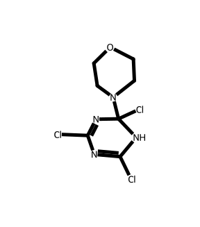 ClC1=NC(Cl)(N2CCOCC2)NC(Cl)=N1